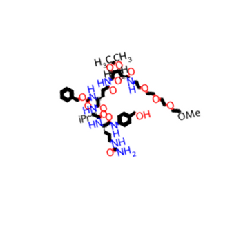 COCCOCCOCCOCCNC(=O)[C@H]1OC(NC(=O)CC[C@H](NC(=O)OCc2ccccc2)C(=O)N[C@H](C(=O)N[C@@H](CCCNC(N)=O)C(=O)Nc2ccc(CO)cc2)C(C)C)[C@@H]2OC(C)(C)O[C@H]12